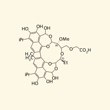 CC[C@@H]1OC(COCC(=O)O)[C@@H](OC)C2Oc3c(c(C)cc4c(C(C)C)c(O)c(O)c(c34)C(O)O2)-c2c(C)cc3c(C(C)C)c(O)c(O)c4c3c2OC1OC4O